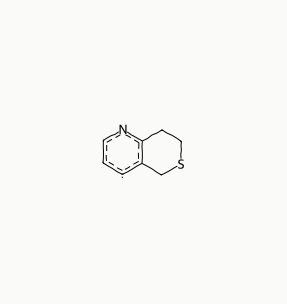 [c]1ccnc2c1CSCC2